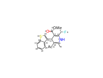 COC(=O)C1=C(CF)NC(C)=C(C(C)=O)C1c1csc2ccccc12